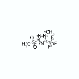 Cn1nc(S(C)(=O)=O)nc1C(F)(F)F